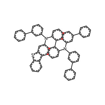 c1ccc(-c2cccc(N(c3cccc(-c4ccccc4)c3)c3ccccc3-c3ccccc3N(c3cccc(-c4ccccc4)c3)c3ccc4c(c3)sc3ccccc34)c2)cc1